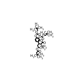 CC(CC(c1ccc(OC(=O)OCC(C)(C)C)c(OC(=O)OCC(C)(C)C)c1)[C@H](N)C(=O)O)OC(=O)CC(C)(C)C